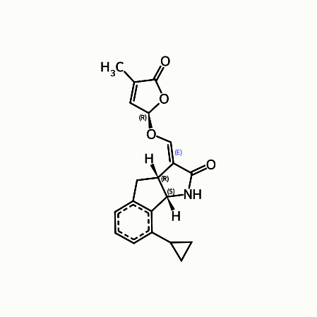 CC1=C[C@H](O/C=C2/C(=O)N[C@@H]3c4c(cccc4C4CC4)C[C@H]23)OC1=O